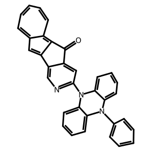 O=C1c2cc(N3c4ccccc4N(c4ccccc4)c4ccccc43)ncc2-c2cc3cccccc-3c21